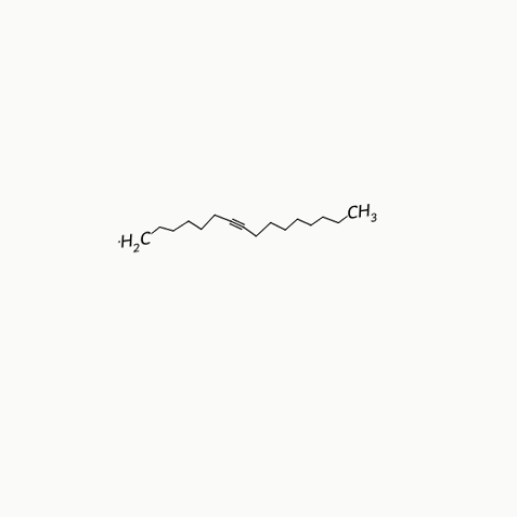 [CH2]CCCCCC#CCCCCCCCC